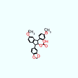 COc1ccc(C2c3cc(OC)ccc3C(c3ccc4c(c3)OCO4)C2OC(=O)O)cc1